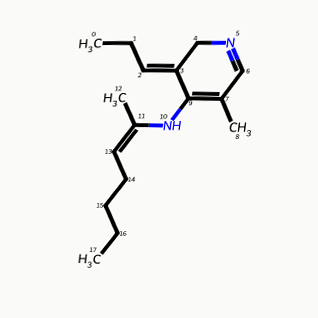 CC/C=C1\CN=CC(C)=C1N/C(C)=C\CCCC